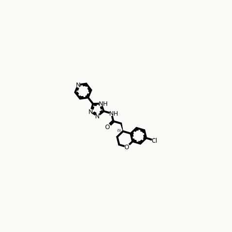 O=C(C[C@@H]1CCOc2cc(Cl)ccc21)Nc1nnc(-c2ccncc2)[nH]1